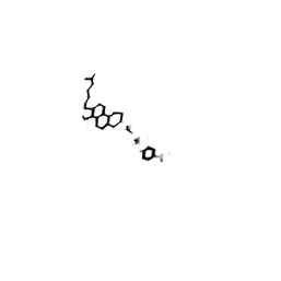 CC(C)CCC[C@@H](C)[C@H]1CC[C@H]2[C@@H]3CC=C4C[C@@H](OCCOC(=O)Oc5ccc([N+](=O)[O-])cc5)CC[C@]4(C)[C@H]3CC[C@]12C